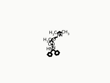 Cc1cc(C)n(CCOC[C@]2(C)CO[C@H](c3nc(-c4ccccc4)c(-c4ccccc4)[nH]3)OC2)n1